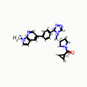 Cn1ccc2cc(-c3ccc(-c4nncn4C[C@@H]4CCN(C(=O)C5CC5)C4)cc3)cnc21